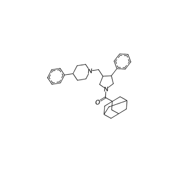 O=C(N1CC(CN2CCC(c3ccccc3)CC2)C(c2ccccc2)C1)C12CC3CC(CC(C3)C1)C2